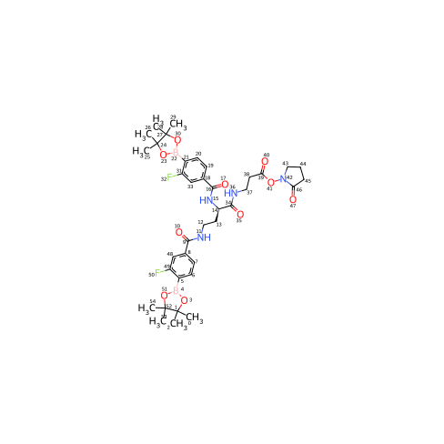 CC1(C)OB(c2ccc(C(=O)NCC[C@@H](NC(=O)c3ccc(B4OC(C)(C)C(C)(C)O4)c(F)c3)C(=O)NCCC(=O)ON3CCCC3=O)cc2F)OC1(C)C